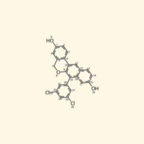 Oc1ccc2c(c1)COc1c-2cc2ccc(O)cc2c1-c1cc(Cl)cc(Cl)c1